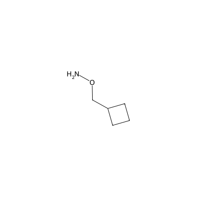 NOCC1CCC1